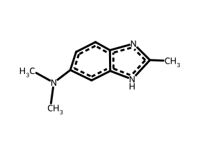 Cc1nc2ccc(N(C)C)cc2[nH]1